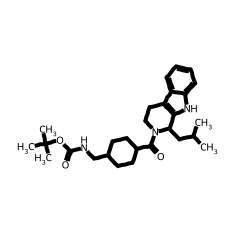 CC(C)CC1c2[nH]c3ccccc3c2CCN1C(=O)C1CCC(CNC(=O)OC(C)(C)C)CC1